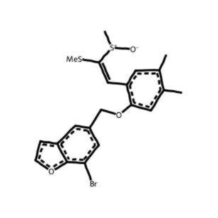 CSC(=Cc1cc(C)c(C)cc1OCc1cc(Br)c2occc2c1)[S+](C)[O-]